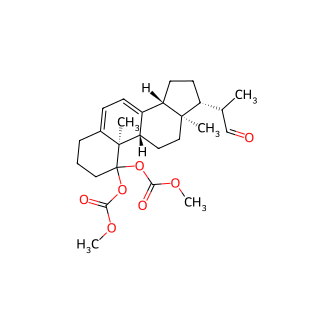 COC(=O)OC1(OC(=O)OC)CCCC2=CC=C3[C@@H]4CC[C@H](C(C)C=O)[C@@]4(C)CC[C@@H]3[C@]21C